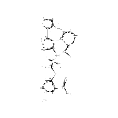 COc1cccc(OC)c1-n1c(NS(=O)(=O)[C@@H](C)Cc2ncc(Cl)cc2C(N)=O)nnc1-c1ccco1